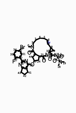 CN1CCCC/C=C/C2CC2(C(=O)NS(=O)(=O)N(C)C)NC(=O)C2CC(Oc3nc(-c4cc(Br)ccc4F)nc4c3CCC4)CC2C1=O